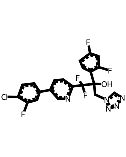 OC(Cn1cnnn1)(c1ccc(F)cc1F)C(F)(F)c1ccc(-c2ccc(Cl)c(F)c2)cn1